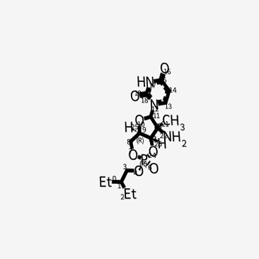 CCC(CC)CO[P@]1(=O)OC[C@H]2OC(n3ccc(=O)[nH]c3=O)[C@](C)(N)[C@@H]2O1